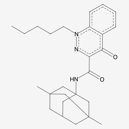 CCCCCn1nc(C(=O)NC23CC4CC(C)(CC(C)(C4)C2)C3)c(=O)c2ccccc21